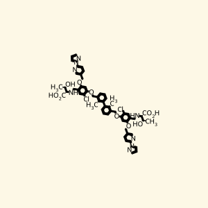 Cc1c(COc2cc(OCc3ccc(-n4cccn4)nc3)c(CN[C@H](C(=O)O)[C@@H](C)O)cc2Cl)cccc1-c1cccc(COc2cc(OCc3ccc(-n4cccn4)nc3)c(CN[C@H](C(=O)O)[C@@H](C)O)cc2Cl)c1C